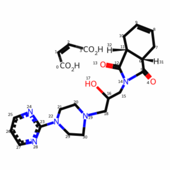 O=C(O)/C=C\C(=O)O.O=C1[C@H]2CC=CC[C@H]2C(=O)N1CC(O)CN1CCN(c2ncccn2)CC1